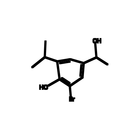 CC(C)c1cc(C(C)O)cc(Br)c1O